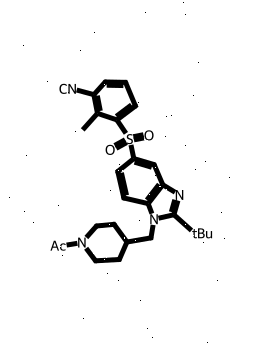 [C-]#[N+]c1cccc(S(=O)(=O)c2ccc3c(c2)nc(C(C)(C)C)n3CC2CCN(C(C)=O)CC2)c1C